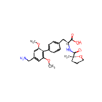 COc1cc(CN)cc(OC)c1-c1ccc(C[C@H](NC(=O)C2(C)CCCO2)C(=O)O)cc1